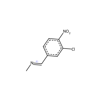 C/N=C/c1ccc([N+](=O)[O-])c(Cl)c1